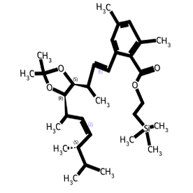 Cc1cc(C)c(C(=O)OCC[Si](C)(C)C)c(/C=C/C(C)[C@@H]2OC(C)(C)O[C@@H]2C(C)/C=C\[C@@H](C)C(C)C)c1